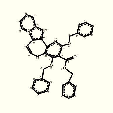 O=C(OCc1ccccc1)c1c(OCc2ccccc2)nc2c(c1OCc1ccccc1)CC=Cc1c-2nc2ccccn12